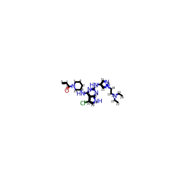 C=CC(=O)N1CCCC(Nc2nc(Nc3cnn(CCN(CC)CC)c3)nc3[nH]cc(Cl)c23)C1